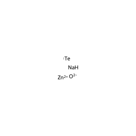 [NaH].[O-2].[Te].[Zn+2]